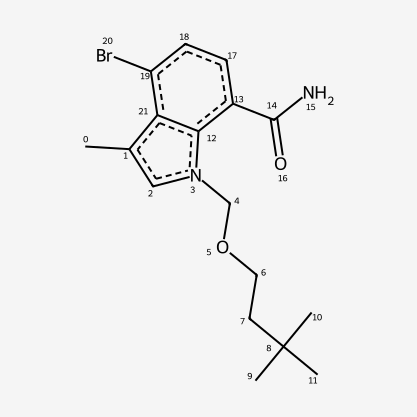 Cc1cn(COCCC(C)(C)C)c2c(C(N)=O)ccc(Br)c12